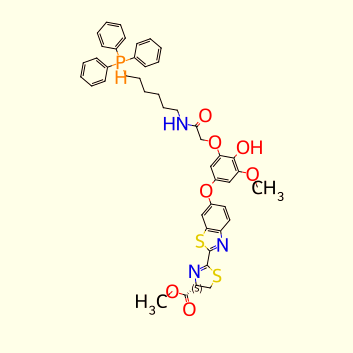 COC(=O)[C@H]1CSC(c2nc3ccc(Oc4cc(OC)c(O)c(OCC(=O)NCCCCCC[PH](c5ccccc5)(c5ccccc5)c5ccccc5)c4)cc3s2)=N1